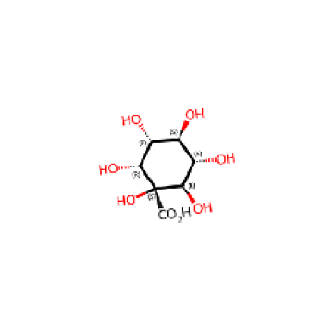 O=C(O)[C@@]1(O)[C@H](O)[C@H](O)[C@@H](O)[C@H](O)[C@H]1O